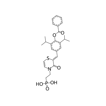 CC(C)c1cc(/C=C2\SC=CN(CCP(=O)(O)O)C2=O)cc(C(C)C)c1OC(=O)c1ccccc1